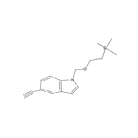 C#Cc1ccc2c(ccn2COCC[Si](C)(C)C)c1